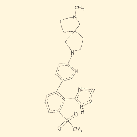 CN1CCC2(CCN(c3ccc(-c4cccc(S(C)(=O)=O)c4-c4nnn[nH]4)cn3)C2)C1